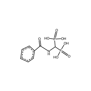 O=C(NC(P(=O)(O)O)P(=O)(O)O)c1ccccc1